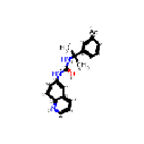 CC(=O)c1cccc(C(C)(C)NC(=O)Nc2ccc3ncccc3c2)c1